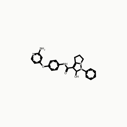 Nc1cc(Oc2ccc(NC(=O)C3=C4CCCN4N(c4ccccc4)C3O)cc2)ccn1